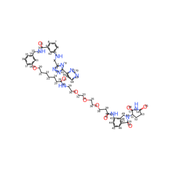 Cn1c(CNc2cccc(C(=O)NCc3cccc(OCCCCCCC(=O)NCCOCCOCCOCCC(=O)Nc4cccc5c4CN(C4CCC(=O)NC4=O)C5=O)c3)c2)nnc1-c1ccncn1